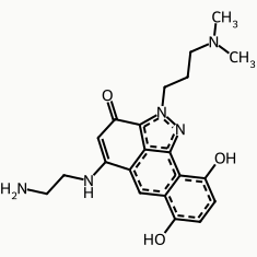 CN(C)CCCn1nc2c3c(cc4c(O)ccc(O)c42)C(NCCN)=CC(=O)c31